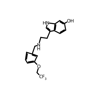 Oc1ccc2c(CCNCc3cccc(OCC(F)(F)F)c3)c[nH]c2c1